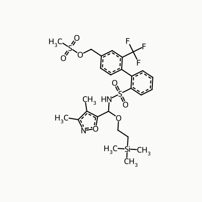 Cc1noc(C(NS(=O)(=O)c2ccccc2-c2ccc(COS(C)(=O)=O)cc2C(F)(F)F)OCC[Si](C)(C)C)c1C